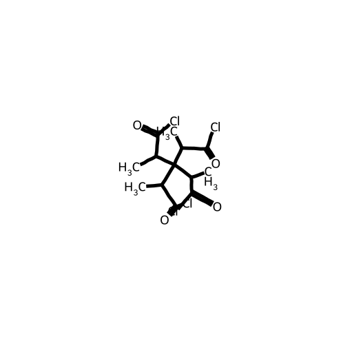 CC(C(=O)Cl)C(C(C)C(=O)Cl)(C(C)C(=O)Cl)C(C)C(=O)Cl